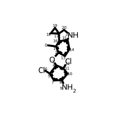 Cc1c(Oc2c(Cl)cc(N)cc2Cl)ccc2c1C1(CC1)CN2